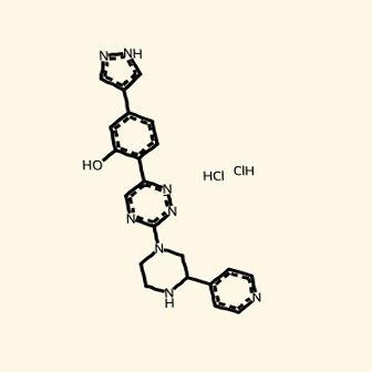 Cl.Cl.Oc1cc(-c2cn[nH]c2)ccc1-c1cnc(N2CCNC(c3ccncc3)C2)nn1